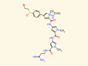 Cn1cc(NC(=O)c2cc(NC(=O)C3=CC(c4ccc([S+]([O-])CCBr)cc4)=C[N+]3(C)NC=O)cn2C)cc1C(=O)NCCC(=N)N